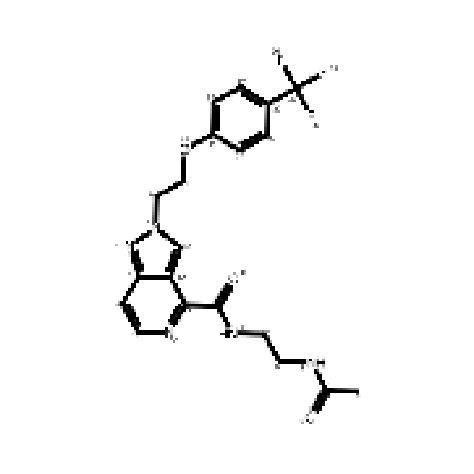 CC(=O)NCCNC(=O)c1nccc2nn(CCOc3ccc(C(F)(F)F)cc3)cc12